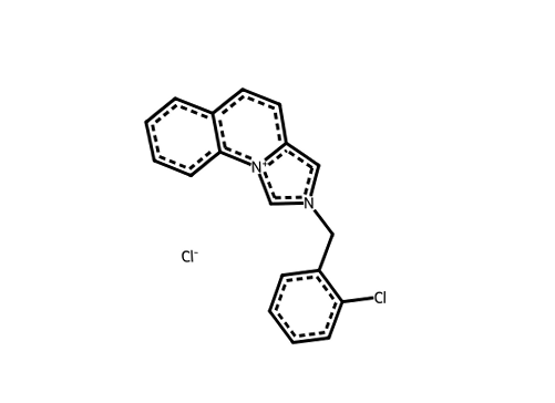 Clc1ccccc1Cn1cc2ccc3ccccc3[n+]2c1.[Cl-]